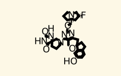 O=C1NC(=O)C2(CCCN(c3nc(OC[C@@]45CCCN4C[C@H](F)C5)nc4c3COC3(CCc5ccc(O)cc53)C4)C2)N1